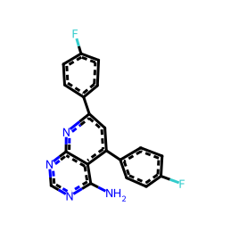 Nc1ncnc2nc(-c3ccc(F)cc3)cc(-c3ccc(F)cc3)c12